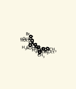 CCCCCCCCC1(CCCCCCCC)c2cc(C)ccc2-c2ccc(N(c3ccc4c(c3)C(CCCCCCCC)(CCCCCCCC)c3cc(N(c5ccc6c(c5)C(CCCCCCCC)(CCCCCCCC)c5cc(Br)ccc5-6)c5c(C)cc(C)cc5C)ccc3-4)c3c(C)cc(C)cc3C)cc21